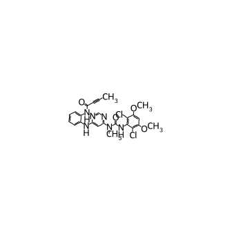 CC#CC(=O)Nc1ccccc1Nc1cc(N(C)C(=O)Nc2c(Cl)c(OC)cc(OC)c2Cl)ncn1